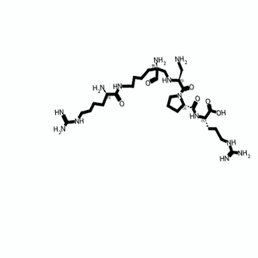 N=C(N)NCCCC[C@H](N)C(=O)NCCCC[C@](N)(C=O)CN[C@@H](CN)C(=O)N1CCC[C@H]1C(=O)N[C@@H](CCCNC(=N)N)C(=O)O